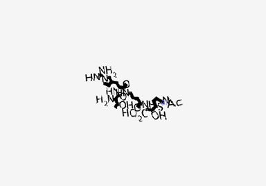 CC(=O)/N=C1/CC=C(C(O)C(NC(=O)CCCNC(=O)C(CC2=CCN(C(=N)N)C2)NC(=O)C(N)C(C)O)C(=O)O)S1